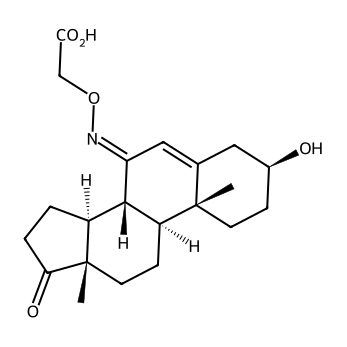 C[C@]12CC[C@H](O)CC1=CC(=NOCC(=O)O)[C@@H]1[C@@H]2CC[C@]2(C)C(=O)CC[C@@H]12